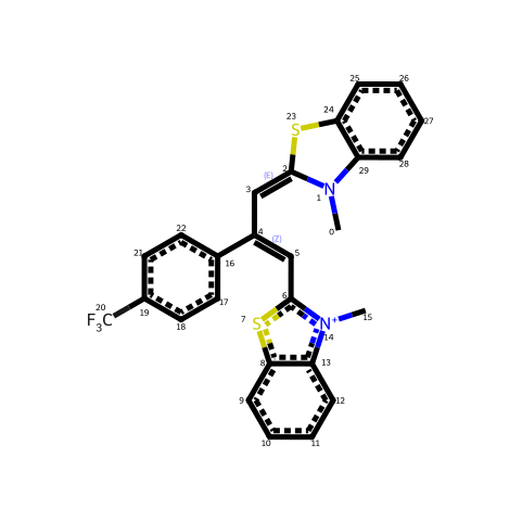 CN1/C(=C\C(=C\c2sc3ccccc3[n+]2C)c2ccc(C(F)(F)F)cc2)Sc2ccccc21